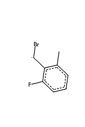 Cc1cccc(F)c1[CH]Br